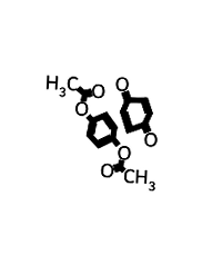 CC(=O)Oc1ccc(OC(C)=O)cc1.O=C1C=CC(=O)C=C1